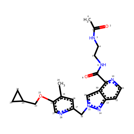 CC(=O)NCCNC(=O)c1nccc2nn(Cc3cc(C)c(OCC4CC4)cn3)cc12